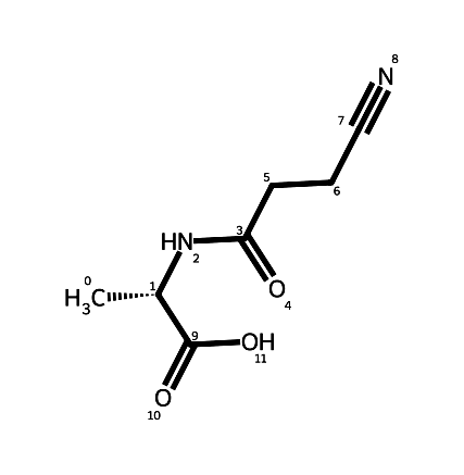 C[C@H](NC(=O)CCC#N)C(=O)O